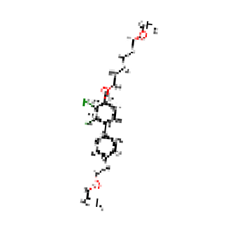 CCOCCc1ccc(-c2ccc(OCCCCCCOC)c(F)c2F)cc1